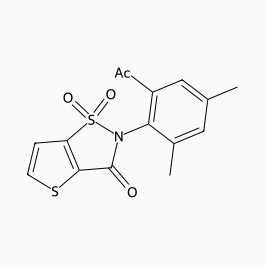 CC(=O)c1cc(C)cc(C)c1N1C(=O)c2sccc2S1(=O)=O